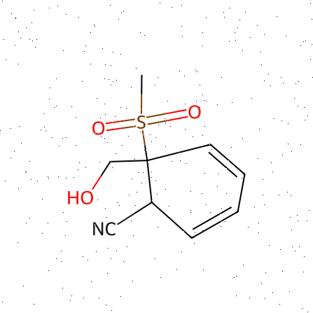 CS(=O)(=O)C1(CO)C=CC=CC1C#N